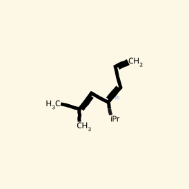 C=C/C=C(\C=C(C)C)C(C)C